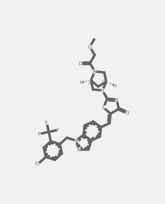 COCC(=O)N1C[C@@H]2C[C@H]1CN2C1=NC(=O)/C(=C/c2ccc3c(cnn3Cc3ccc(Cl)cc3C(F)(F)F)c2)S1